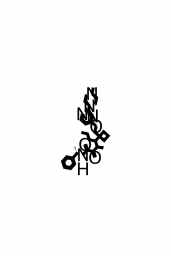 CCCC([C](C)C(=O)C(=O)N[C@@H](C)c1ccccc1)C1(COc2ccnc(N3CCN(C)CC3)n2)CCC1